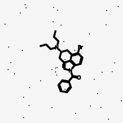 CCCN(CCC)[C@H]1Cc2c(Br)ccc3c2[C@@H](C1)CN3C(=O)c1ccccc1